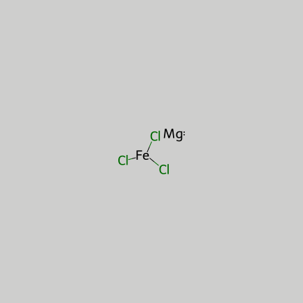 [Cl][Fe]([Cl])[Cl].[Mg]